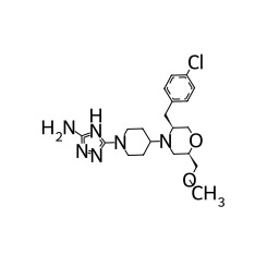 COC[C@H]1CN(C2CCN(c3nnc(N)[nH]3)CC2)[C@@H](Cc2ccc(Cl)cc2)CO1